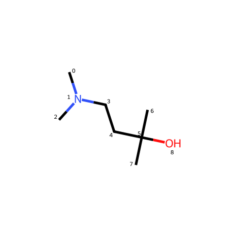 CN(C)CCC(C)(C)O